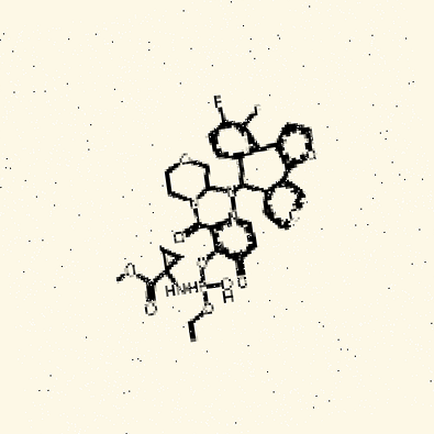 CCO[PH](O)(NC1(C(=O)OC)CC1)Oc1c2n(ccc1=O)N(C1c3ccccc3-c3occc3-c3c1ccc(F)c3F)C1COCCN1C2=O